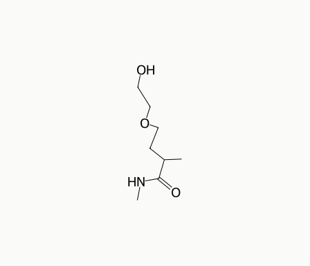 CNC(=O)C(C)CCOCCO